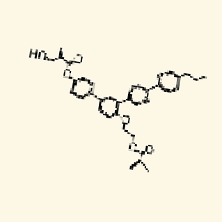 C=C(C)C(=O)OCCOc1ccc(-c2ccc(OC(=O)C(=C)CO)cc2)cc1-c1ccc(-c2ccc(CCC)cc2)cc1